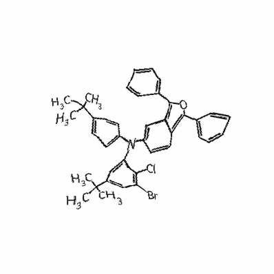 CC(C)(C)c1ccc(N(c2ccc3c(-c4ccccc4)oc(-c4ccccc4)c3c2)c2cc(C(C)(C)C)cc(Br)c2Cl)cc1